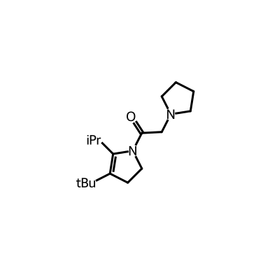 CC(C)C1=C(C(C)(C)C)CCN1C(=O)CN1CCCC1